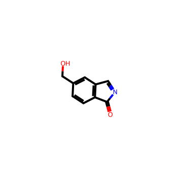 O=C1N=Cc2cc(CO)ccc21